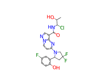 CC(O)C(Cl)NC(=O)c1cnn2ccc(N3CC(F)(F)CC3c3cc(F)ccc3O)nc12